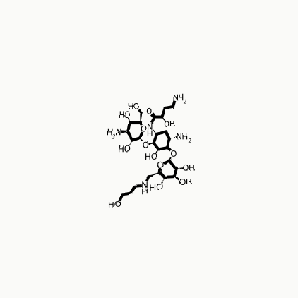 NCC[C@H](O)C(=O)N[C@@H]1C[C@H](N)C(O[C@H]2O[C@H](CNCCCO)[C@@H](O)[C@H](O)[C@H]2O)[C@H](O)[C@H]1O[C@H]1O[C@H](CO)[C@@H](O)[C@H](N)[C@H]1O